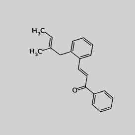 CC=C(C)Cc1ccccc1C=CC(=O)c1ccccc1